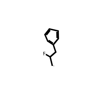 [CH2]C(F)Cc1ccccc1